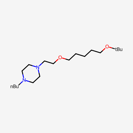 CCCCN1CCN(CCOCCCCCOC(C)(C)C)CC1